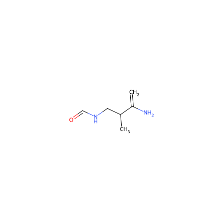 C=C(N)C(C)CNC=O